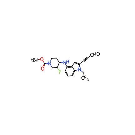 CC(C)(C)OC(=O)N1CC[C@@H](Nc2cccc3c2cc(C#CC=O)n3CC(F)(F)F)[C@@H](F)C1